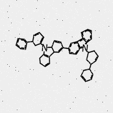 C1=CCC(C2C=CCC(n3c4ccccc4c4cc(C5=CC6C7=C(CCC=C7)N(C7=CC=CC(c8ccccc8)C7)C6C=C5)ccc43)C2)C=C1